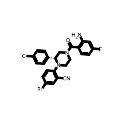 N#Cc1cc(Br)ccc1N1CCN(C(=O)c2ccc(F)cc2N)C[C@H]1c1ccc(Cl)cc1